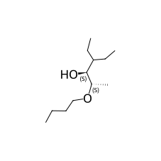 CCCCO[C@@H](C)[C@@H](O)C(CC)CC